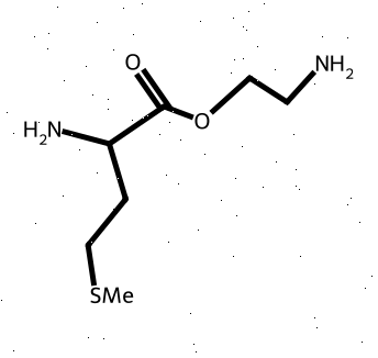 CSCCC(N)C(=O)OCCN